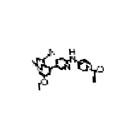 C#CC(=O)N1CC2CCC1CC2Nc1ccc(-c2cc(OCC)cn3ncc(C#N)c23)cn1